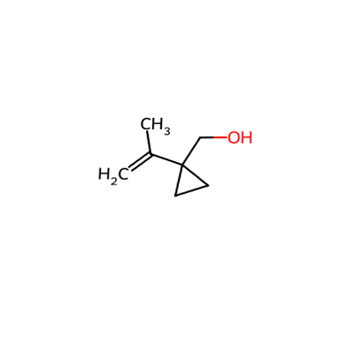 C=C(C)C1(CO)CC1